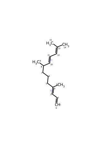 [CH]=C/C=C(\C)CCCC(C)/C=C/C=C(C)C